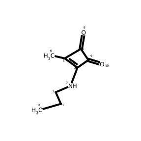 CCCNc1c(C)c(=O)c1=O